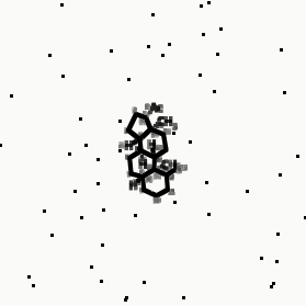 CC(=O)[C@H]1CC[C@H]2[C@@H]3CC[C@H]4CCCC(F)[C@]4(C)[C@H]3CC[C@]12C